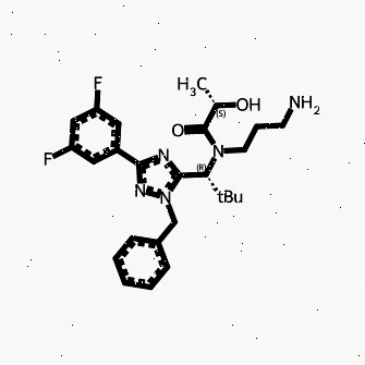 C[C@H](O)C(=O)N(CCCN)[C@@H](c1nc(-c2cc(F)cc(F)c2)nn1Cc1ccccc1)C(C)(C)C